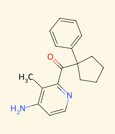 Cc1c(N)ccnc1C(=O)C1(c2ccccc2)CCCC1